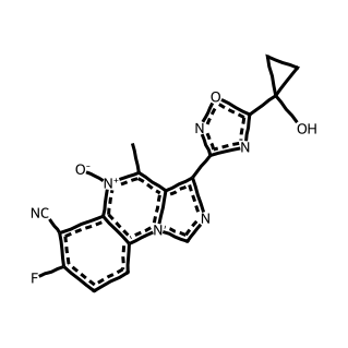 Cc1c2c(-c3noc(C4(O)CC4)n3)ncn2c2ccc(F)c(C#N)c2[n+]1[O-]